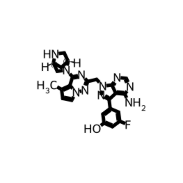 Cc1ccn2nc(Cn3nc(-c4cc(O)cc(F)c4)c4c(N)ncnc43)nc(N3C[C@@H]4C[C@H]3CN4)c12